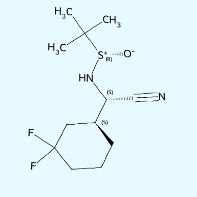 CC(C)(C)[S@+]([O-])N[C@H](C#N)[C@H]1CCCC(F)(F)C1